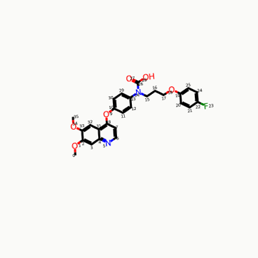 COc1cc2nccc(Oc3ccc(N(CCCOc4ccc(F)cc4)C(=O)O)cc3)c2cc1OC